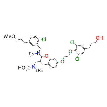 COCCCc1ccc(Cl)c(CN(C(=O)C(Cc2ccc(OCCOc3c(Cl)cc(CCCO)cc3Cl)cc2)CN(C(=O)O)C(C)(C)C)C2CC2)c1